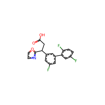 O=C(O)CC(c1cc(F)cc(-c2cc(F)ccc2F)c1)c1ncco1